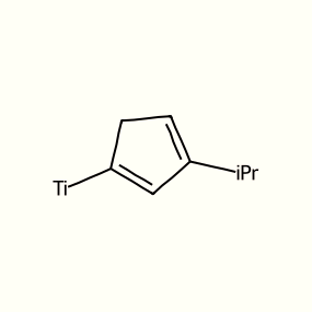 CC(C)C1=CC[C]([Ti])=C1